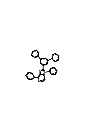 c1ccc(-c2cc(-c3ccccc3)cc(-c3nc4c(-c5ccccc5)nccc4n3-c3ccccc3)c2)cc1